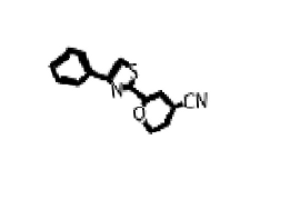 N#CC1CCOC(c2nc(-c3ccccc3)cs2)C1